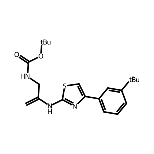 C=C(CNC(=O)OC(C)(C)C)Nc1nc(-c2cccc(C(C)(C)C)c2)cs1